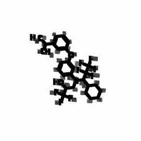 CC(C)c1cccc(Oc2cccc(N(CC(O)C(F)(F)F)C(C3CCCCC3)C(F)(F)C(F)(F)F)c2)c1